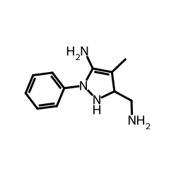 CC1=C(N)N(c2ccccc2)NC1CN